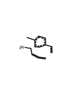 C=C=CCC(C)C.C=Cc1ccc(C)cc1